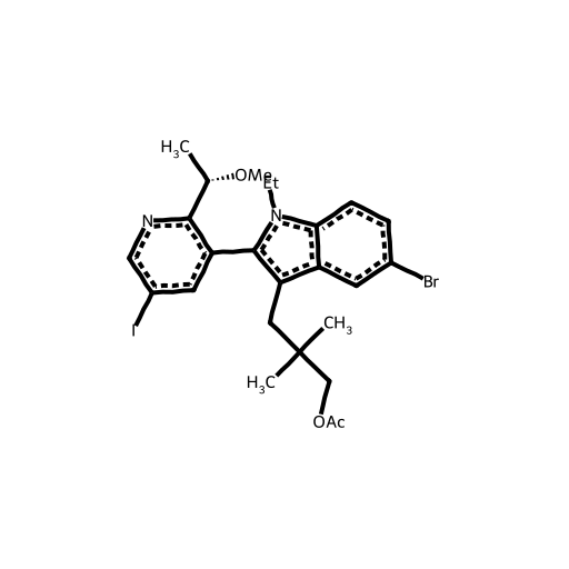 CCn1c(-c2cc(I)cnc2[C@H](C)OC)c(CC(C)(C)COC(C)=O)c2cc(Br)ccc21